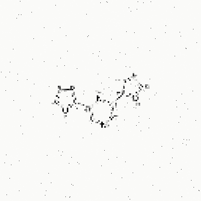 c1coc(-c2cncc(-c3ccco3)n2)c1